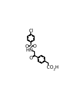 O=C(O)Cc1ccc(C(=O)CNS(=O)(=O)c2ccc(Cl)cc2)cc1